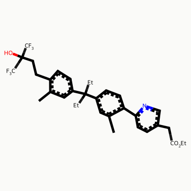 CCOC(=O)Cc1ccc(-c2ccc(C(CC)(CC)c3ccc(CCC(O)(C(F)(F)F)C(F)(F)F)c(C)c3)cc2C)nc1